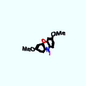 COC1=CC2=C(CC1)N(I)c1ccc(OC)cc1O2